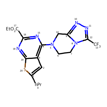 CCCc1cc2c(N3CCn4c(nnc4C(F)(F)F)C3)nc(C(=O)OCC)nc2s1